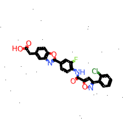 O=C(O)Cc1ccc2oc(-c3ccc(NC(=O)c4cc(-c5ccccc5Cl)no4)c(F)c3)nc2c1